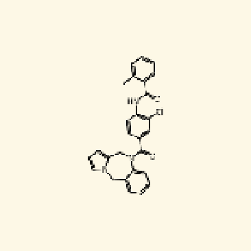 Cc1ccccc1C(=O)Nc1ccc(C(=O)N2Cc3cccn3Cc3ccccc32)cc1Cl